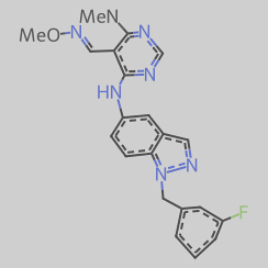 CNc1ncnc(Nc2ccc3c(cnn3Cc3cccc(F)c3)c2)c1C=NOC